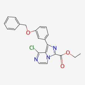 CCOC(=O)c1nc(-c2cccc(OCc3ccccc3)c2)c2c(Cl)nccn12